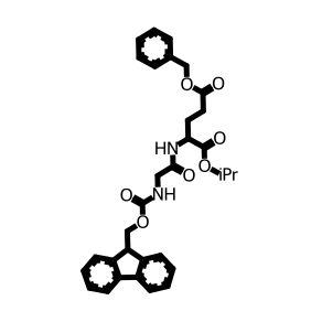 CC(C)OC(=O)C(CCC(=O)OCc1ccccc1)NC(=O)CNC(=O)OCC1c2ccccc2-c2ccccc21